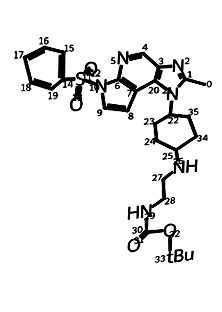 Cc1nc2cnc3c(ccn3S(=O)(=O)c3ccccc3)c2n1C1CCC(NCCNC(=O)OC(C)(C)C)CC1